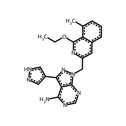 CCOc1nc(Cn2nc(-c3cn[nH]c3)c3c(N)ncnc32)cc2cccc(C)c12